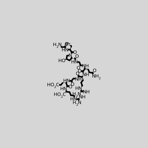 CC(C)C[C@H](NC(=O)CN)C(=O)N1C[C@H](O)C[C@H]1C(=O)NCC(=O)N[C@@H](CCC(N)=O)C(=O)N[C@@H](CCCNC(=N)N)C(=O)NCC(=O)N[C@@H](CCC(=O)O)C(=O)N[C@@H](CCCNC(=N)N)C(=O)O